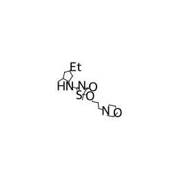 CCC1CC(C)C(NC2=NC(=O)C(C)(OCCCN3CCOCC3)S2)C1